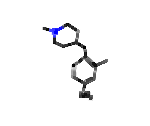 Cc1cc([N+](=O)[O-])ccc1CC1CCN(C)CC1